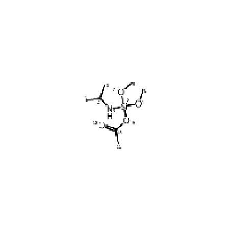 CO[Si](NC(C)C)(OC)OC(C)=O